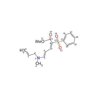 C=CCN(C)C=CC=C(C(=O)OC)S(=O)(=O)c1ccccc1